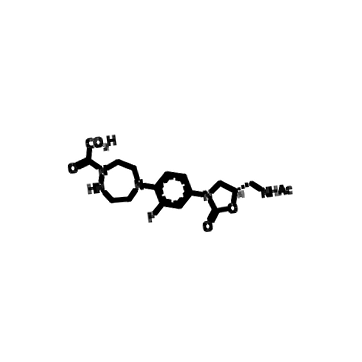 CC(=O)NC[C@H]1CN(c2ccc(N3CCNN(C(=O)C(=O)O)CC3)c(F)c2)C(=O)O1